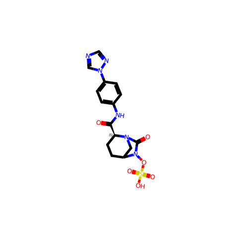 O=C(Nc1ccc(-n2cncn2)cc1)[C@@H]1CCC2CN1C(=O)N2OS(=O)(=O)O